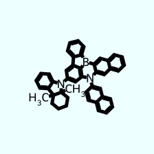 CC12CCCCC1(C)N(c1cc3c4c(c1)N(c1ccc5ccccc5c1)c1cc5ccccc5cc1B4c1ccccc1-3)c1ccccc12